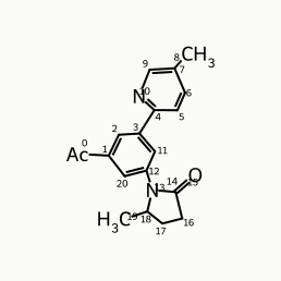 CC(=O)c1cc(-c2ccc(C)cn2)cc(N2C(=O)CCC2C)c1